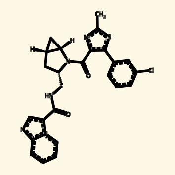 Cc1nc(C(=O)N2[C@H](CNC(=O)c3cnc4ccccn34)C[C@@H]3C[C@@H]32)c(-c2cccc(Cl)c2)s1